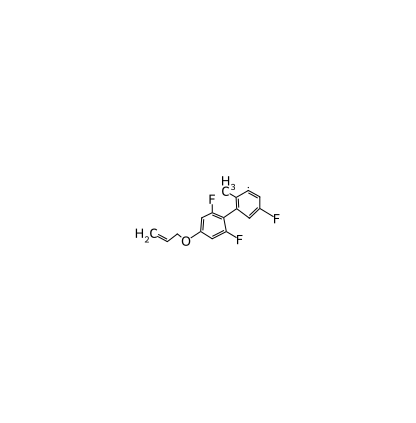 C=CCOc1cc(F)c(-c2cc(F)c[c]c2C)c(F)c1